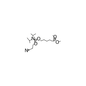 COP(CCCCCOP(OCCC#N)N(C(C)C)C(C)C)OC